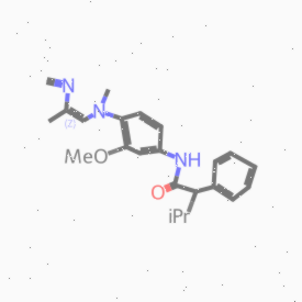 C=N/C(C)=C\N(C)c1ccc(NC(=O)C(c2ccccc2)C(C)C)cc1OC